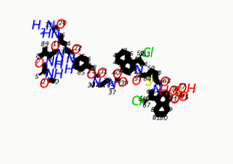 CC(=O)N[C@@H](C)C(=O)N[C@H](C(=O)N[C@@H](CCCNC(N)=O)C(=O)Nc1ccc(COC(=O)N(C)CCN(C)C(=O)Oc2cc3c(c4ccccc24)[C@H](CCl)CN3C(=O)c2ccc(C(=O)N3C[C@@H](CCl)c4c3cc(OP(=O)(O)O)c3ccccc43)s2)cc1)C(C)C